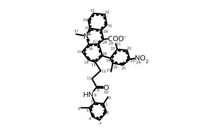 Cc1cccc(C)c1NC(=O)CCc1ccc2c(c1-c1c(C)cc([N+](=O)[O-])cc1C)c(C(=O)[O-])c1ccccc1[n+]2C